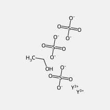 CCO.O=S(=O)([O-])[O-].O=S(=O)([O-])[O-].O=S(=O)([O-])[O-].[Y+3].[Y+3]